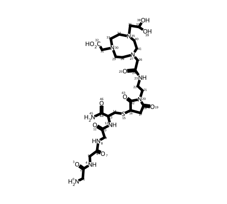 NCC(=O)NCC(=O)NCC(=O)NC(CSC1CC(=O)N(CCNC(=O)CN2CCN(CC(=O)O)CCN(CC(O)O)CC2)C1=O)C(N)=O